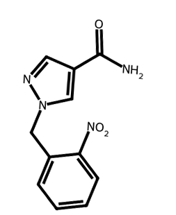 NC(=O)c1cnn(Cc2ccccc2[N+](=O)[O-])c1